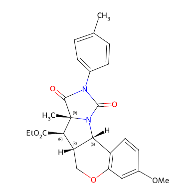 CCOC(=O)[C@@H]1[C@H]2COc3cc(OC)ccc3[C@H]2N2C(=O)N(c3ccc(C)cc3)C(=O)[C@@]12C